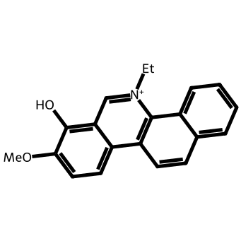 CC[n+]1cc2c(O)c(OC)ccc2c2ccc3ccccc3c21